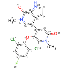 Cn1cc(Oc2c(Cl)cc(F)cc2Cl)c(-c2cn(C)c(=O)c3[nH]ccc23)cc1=O